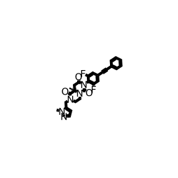 Cn1nccc1CN1CCN2C(=O)N(c3c(F)cc(C#Cc4ccccc4)cc3F)C(=O)C[C@@]2(C)C1=O